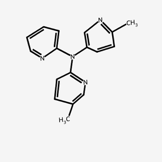 Cc1ccc(N(c2ccc(C)nc2)c2ccccn2)nc1